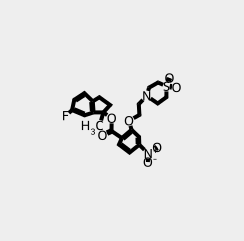 CC1(OC(=O)c2ccc([N+](=O)[O-])cc2OCCN2CCS(=O)(=O)CC2)CCc2ccc(F)cc21